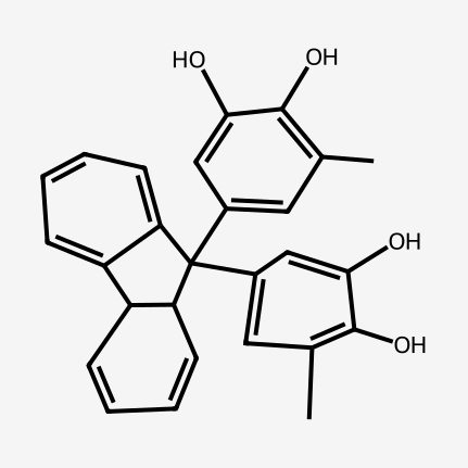 Cc1cc(C2(c3cc(C)c(O)c(O)c3)c3ccccc3C3C=CC=CC32)cc(O)c1O